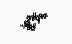 Nc1ncc(-c2cnn(CC(=O)NC3CCN[C@@H](C(=O)OC4CCCC4)C3)c2)nc1NCc1c(Cl)cccc1Cl